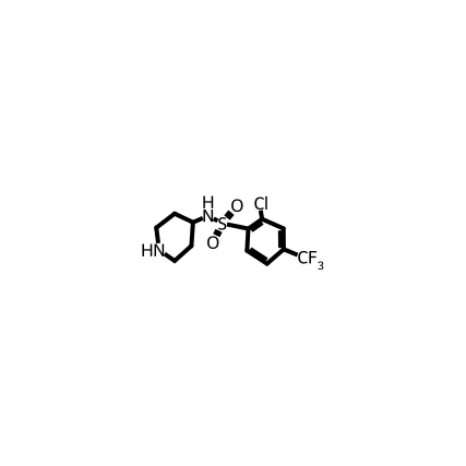 O=S(=O)(NC1CCNCC1)c1ccc(C(F)(F)F)cc1Cl